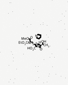 CCOC(=O)N[C@H](CSC1=C(C(=O)O)N2C(=O)[C@H](C(C)O)[C@H]2S1)C(=O)OC.c1ccncc1